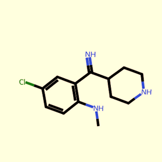 CNc1ccc(Cl)cc1C(=N)C1CCNCC1